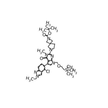 CCn1cc2c(Cl)c(-c3cn(COCC[Si](C)(C)C)c4nc(N5CCC6(CN(C(=O)OC(C)(C)C)C6)C5)n(C)c(=O)c34)ccc2n1